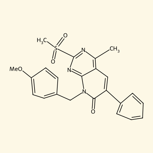 COc1ccc(Cn2c(=O)c(-c3ccccc3)cc3c(C)nc(S(C)(=O)=O)nc32)cc1